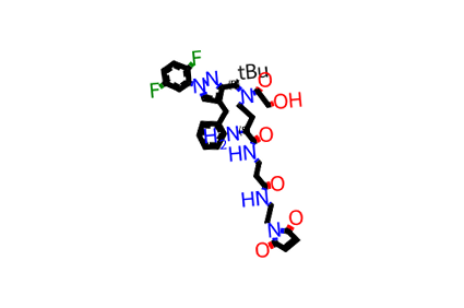 CC(C)(C)[C@H](c1nn(-c2cc(F)ccc2F)cc1Cc1ccccc1)N(CC[C@H](N)C(=O)NCCC(=O)NCCN1C(=O)C=CC1=O)C(=O)CO